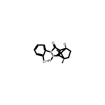 CCCn1c2c(c(=O)n1-c1ccccc1Cl)[C@@H]1CC[C@@]2(C)C1(C)C